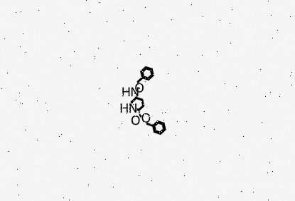 O=C(OCc1ccccc1)[C@@H]1CCC(NOCc2ccccc2)CN1